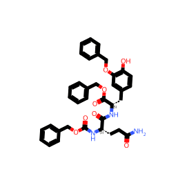 NC(=O)CC[C@H](NC(=O)OCc1ccccc1)C(=O)N[C@@H](Cc1ccc(O)c(OCc2ccccc2)c1)C(=O)OCc1ccccc1